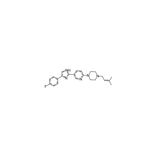 CC(C)=CCN1CCN(c2ccc(-c3nc(-c4ccc(F)cc4)c[nH]3)cn2)CC1